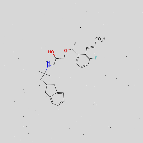 C[C@@H](OC[C@H](O)CNC(C)(C)CC1Cc2ccccc2C1)c1cccc(F)c1C=CC(=O)O